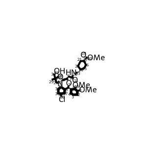 COc1cccc([C@H]2O[C@H](CC(=O)NC[C@H]3CC[C@H](C(=O)OC)CC3)C(=O)N(CC(C)(C)CO)c3ccc(Cl)cc32)c1OC